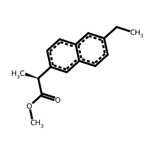 CCc1ccc2cc([C@H](C)C(=O)OC)ccc2c1